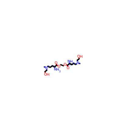 CN(/C=C/C=C(\N)C(=O)OCCOC(=O)/C(N)=C/C=C/N(C)CCO)CCO